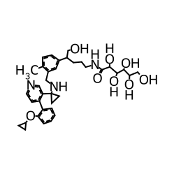 Cc1ccc(C(CO)CCCNC(=O)C(O)C(O)C(O)C(O)CO)cc1CNC1(c2cnccc2-c2ccccc2OC2CC2)CC1